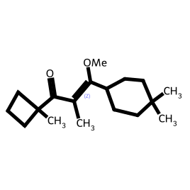 CO/C(=C(/C)C(=O)C1(C)CCC1)C1CCC(C)(C)CC1